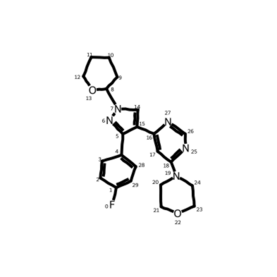 Fc1ccc(-c2nn(C3CCCCO3)cc2-c2cc(N3CCOCC3)ncn2)cc1